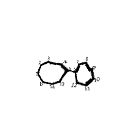 [CH]1CCCC[C@@H](C2=CC=CC=CC2)CC1